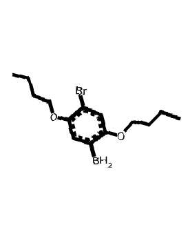 Bc1cc(OCCCC)c(Br)cc1OCCCC